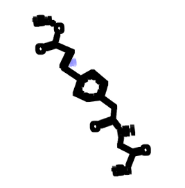 CC(C)(C)OC(=O)/C=C/c1ccc(CC(=O)NCC(=O)C(C)(C)C)cc1